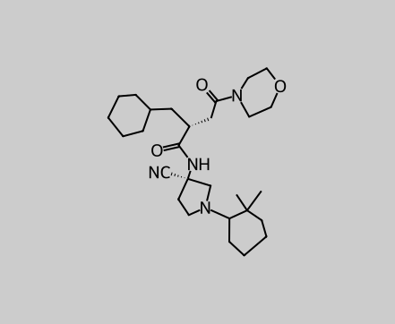 CC1(C)CCCCC1N1CC[C@@](C#N)(NC(=O)[C@@H](CC(=O)N2CCOCC2)CC2CCCCC2)C1